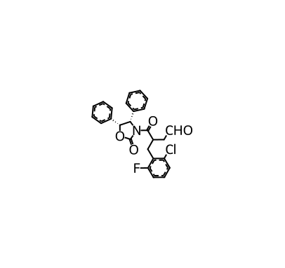 O=CCC(Cc1c(F)cccc1Cl)C(=O)N1C(=O)O[C@H](c2ccccc2)[C@@H]1c1ccccc1